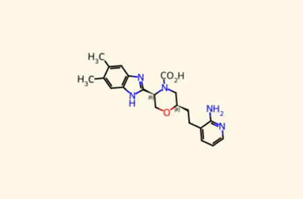 Cc1cc2nc([C@@H]3CO[C@H](CCc4cccnc4N)CN3C(=O)O)[nH]c2cc1C